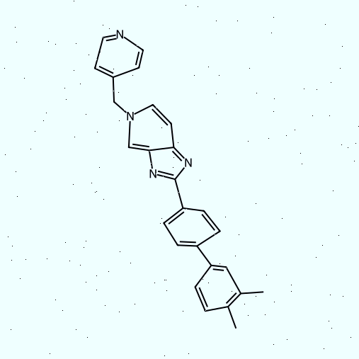 Cc1ccc(-c2ccc(-c3nc4ccn(Cc5ccncc5)cc-4n3)cc2)cc1C